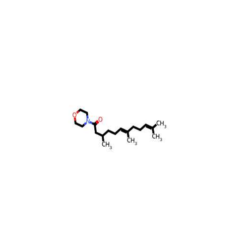 CC(C)=CCC/C(C)=C/CCC(C)CC(=O)N1CCOCC1